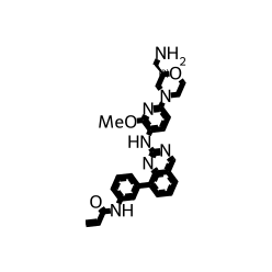 C=CC(=O)Nc1cccc(-c2cccc3cnc(Nc4ccc(N5CCO[C@H](CN)C5)nc4OC)nc23)c1